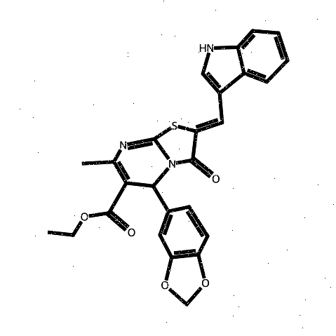 CCOC(=O)C1=C(C)N=c2s/c(=C\c3c[nH]c4ccccc34)c(=O)n2C1c1ccc2c(c1)OCO2